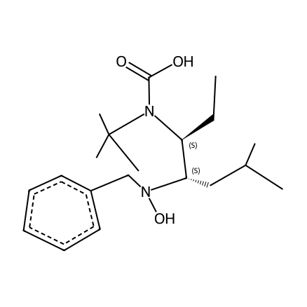 CC[C@@H]([C@H](CC(C)C)N(O)Cc1ccccc1)N(C(=O)O)C(C)(C)C